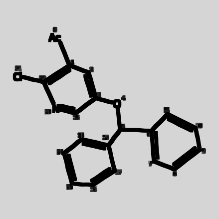 CC(=O)c1cc(OC(c2ccccc2)c2ccccc2)cnc1Cl